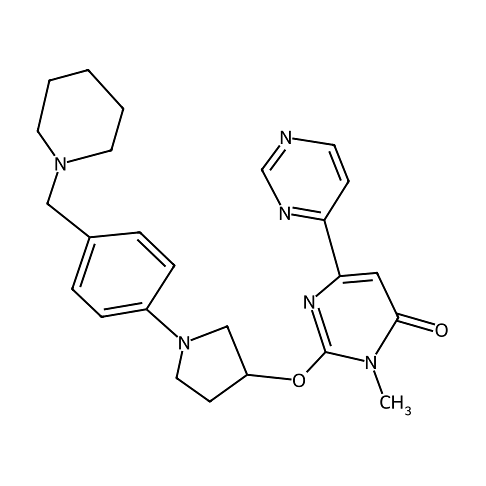 Cn1c(OC2CCN(c3ccc(CN4CCCCC4)cc3)C2)nc(-c2ccncn2)cc1=O